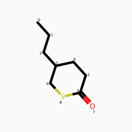 CCCC1CCC(=O)SC1